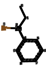 C[CH2][Zn]([Br])[c]1ccccc1